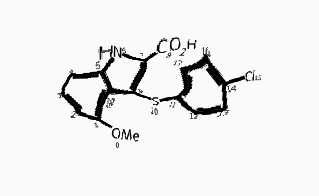 COc1cccc2[nH]c(C(=O)O)c(Sc3ccc(Cl)cc3)c12